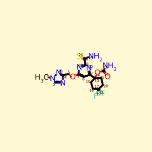 Cn1cnc(COc2cc(C3(OC(N)=O)CCC(F)(F)CC3)nc(C(N)=S)n2)n1